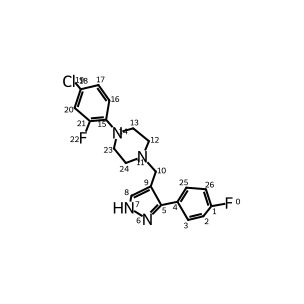 Fc1ccc(-c2n[nH]cc2CN2CCN(c3ccc(Cl)cc3F)CC2)cc1